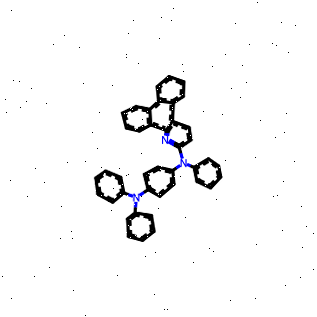 c1ccc(N(c2ccccc2)c2ccc(N(c3ccccc3)c3ccc4c5ccccc5c5ccccc5c4n3)cc2)cc1